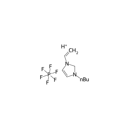 C=CN1C=CN(CCCC)C1.F[P-](F)(F)(F)(F)F.[H+]